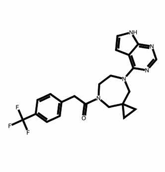 O=C(Cc1ccc(C(F)(F)F)cc1)N1CCN(c2ncnc3[nH]ccc23)CC2(CC2)C1